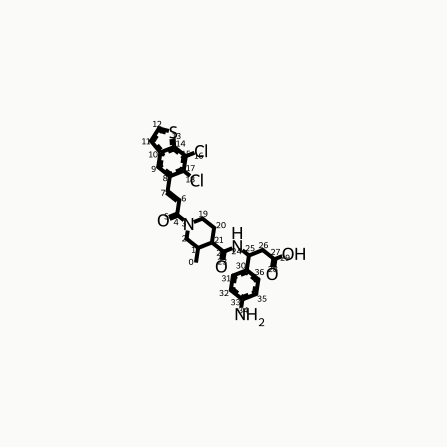 CC1CN(C(=O)/C=C/c2cc3ccsc3c(Cl)c2Cl)CCC1C(=O)NC(CC(=O)O)c1ccc(N)cc1